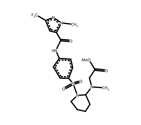 COC(=O)CN(C)C1CCCCN1S(=O)(=O)c1ccc(NC(=O)c2cc(C(F)(F)F)nn2C)cc1